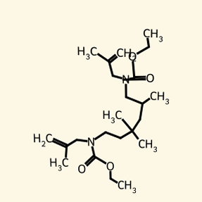 C=C(C)CN(CCC(C)(C)CC(C)CN(CC(=C)C)C(=O)OCC)C(=O)OCC